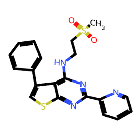 CS(=O)(=O)CCNc1nc(-c2ccccn2)nc2scc(-c3ccccc3)c12